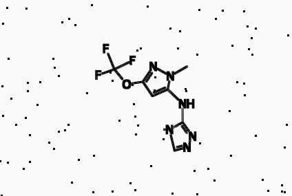 Cn1nc(OC(F)(F)F)cc1NC1=NN=C[N]1